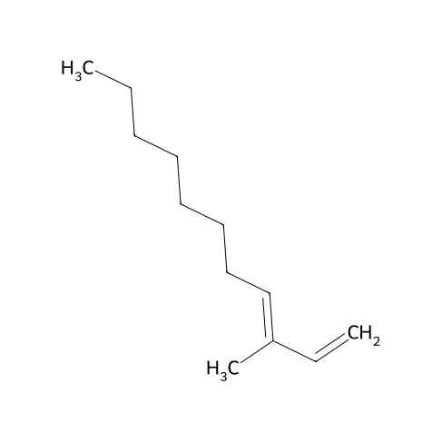 C=CC(C)=CCCCCCCC